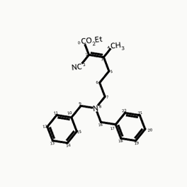 CCOC(=O)C(C#N)=C(C)CCCN(Cc1ccccc1)Cc1ccccc1